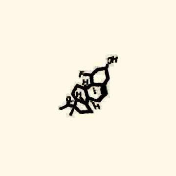 CC(=O)[C@@]1(C)CC[C@H]2[C@@H]3CC=C4CC(O)CC(F)[C@]4(C)[C@H]3CC[C@@]21C